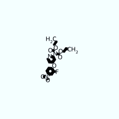 C=CCOC(=O)N(C(=O)OCC=C)c1cc(Oc2ccc([N+](=O)[O-])cc2F)ccn1